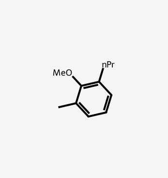 CCCc1cccc(C)c1OC